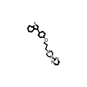 c1cnc(N2CCN(CCCOc3ccc(-c4csc5ccccc45)cc3)CC2)nc1